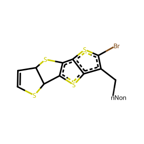 CCCCCCCCCCc1c(Br)sc2c3c(sc12)C1SC=CC1S3